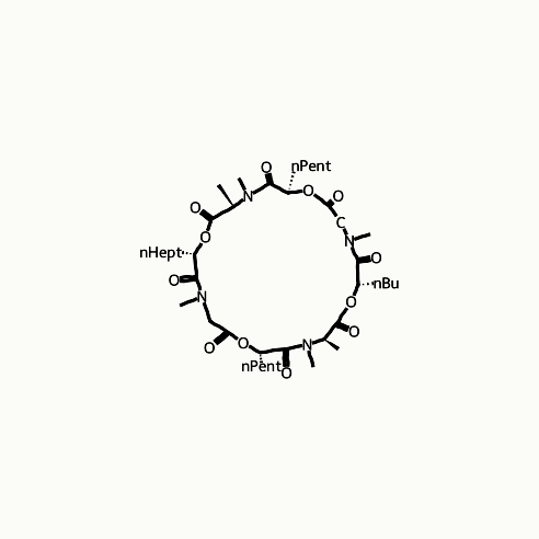 CCCCCCC[C@@H]1OC(=O)[C@@H](C)N(C)C(=O)[C@H](CCCCC)OC(=O)CN(C)C(=O)[C@H](CCCC)OC(=O)[C@@H](C)N(C)C(=O)[C@H](CCCCC)OC(=O)CN(C)C1=O